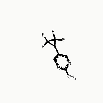 Cc1ncc(C2C(F)(F)C2(F)F)cn1